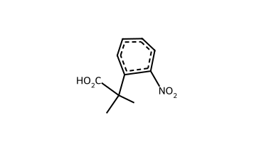 CC(C)(C(=O)O)c1ccccc1[N+](=O)[O-]